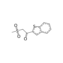 CS(=O)(=O)CC(=O)c1cc2ccccc2s1